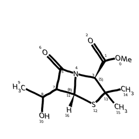 COC(=O)[C@@H]1N2C(=O)C(C(C)O)[C@H]2SC1(C)C